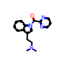 CN(C)CCc1cn(C(=O)c2ncccn2)c2ccccc12